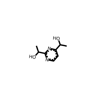 CC(O)c1ccnc(C(C)O)n1